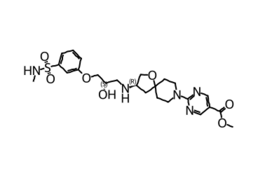 CNS(=O)(=O)c1cccc(OC[C@@H](O)CN[C@H]2COC3(CCN(c4ncc(C(=O)OC)cn4)CC3)C2)c1